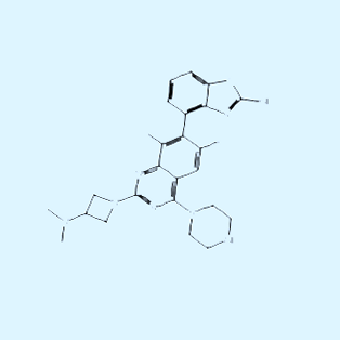 CN(C)C1CN(c2nc(N3CCNCC3)c3cc(Cl)c(-c4cccc5sc(N)nc45)c(F)c3n2)C1